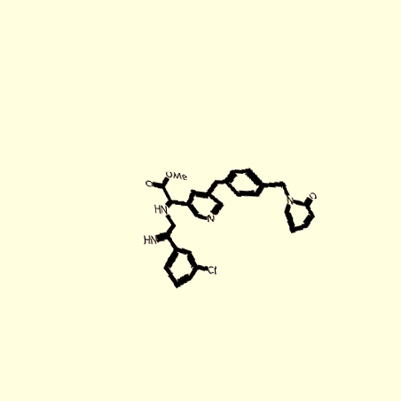 COC(=O)C(NCC(=N)c1cccc(Cl)c1)c1cncc(Cc2ccc(Cn3ccccc3=O)cc2)c1